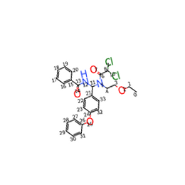 CCOCCN(C(=O)C(Cl)Cl)C(NC(=O)c1ccccc1)c1ccc(Oc2ccccc2)cc1